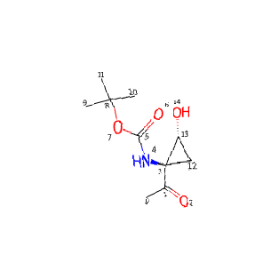 CC(=O)[C@@]1(NC(=O)OC(C)(C)C)C[C@H]1O